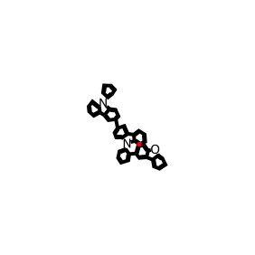 c1ccc(-n2c3ccccc3c3cc(-c4ccc5c(c4)c4ccccc4n5-c4ccccc4-c4ccc5oc6ccccc6c5c4)ccc32)cc1